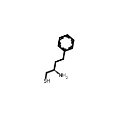 N[C@@H](CS)CCc1ccccc1